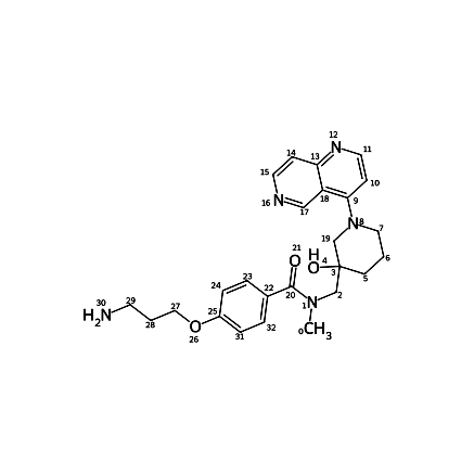 CN(CC1(O)CCCN(c2ccnc3ccncc23)C1)C(=O)c1ccc(OCCCN)cc1